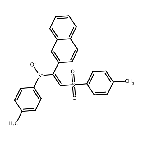 Cc1ccc([S+]([O-])/C(=C/S(=O)(=O)c2ccc(C)cc2)c2ccc3ccccc3c2)cc1